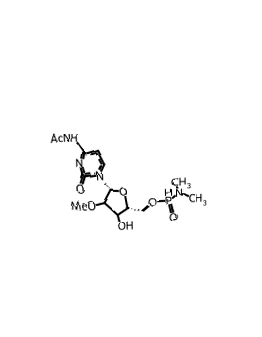 COC1C(O)[C@@H](CO[PH](=O)N(C)C)O[C@H]1n1ccc(NC(C)=O)nc1=O